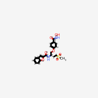 CS(=O)(=O)CC[C@@H](COc1ccc(C(=O)NO)cc1)NC(=O)c1cc2ccccc2o1